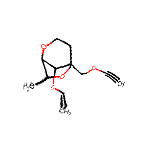 BC1OC2(COC#C)CCOC1C2OC=C